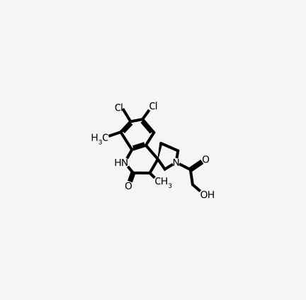 Cc1c(Cl)c(Cl)cc2c1NC(=O)C(C)[C@]21CCN(C(=O)CO)C1